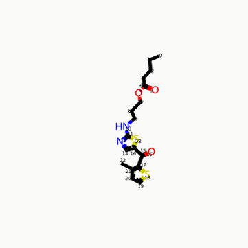 CCCCC(=O)OCCCNc1ncc(C(=O)c2sccc2C)s1